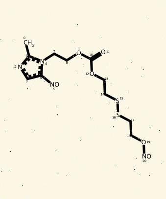 Cc1ncc(N=O)n1CCOC(=O)OCCSSCCON=O